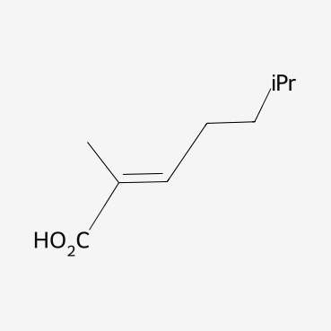 CC(=CCCC(C)C)C(=O)O